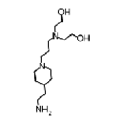 NCCC1CCN(CCCN(CCO)CCO)CC1